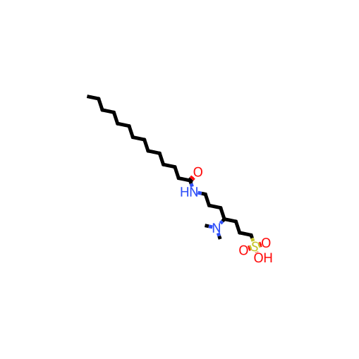 CCCCCCCCCCCCCC(=O)NCCCC(CCCS(=O)(=O)O)N(C)C